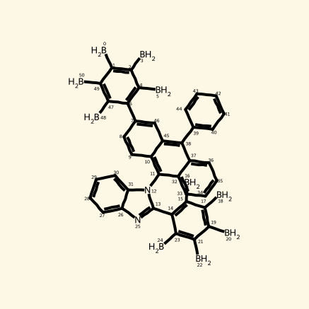 Bc1c(B)c(B)c(-c2ccc3c(-n4c(-c5c(B)c(B)c(B)c(B)c5B)nc5ccccc54)c4ccccc4c(-c4ccccc4)c3c2)c(B)c1B